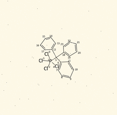 ClP(Cl)(Cl)(Cl)C(c1ccccc1)(c1ccccc1)c1ccccc1